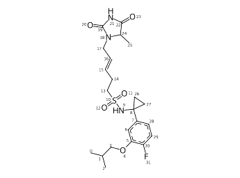 CC(C)COc1cc(C2(NS(=O)(=O)CC/C=C/CN3C(=O)NC(=O)C3C)CC2)ccc1F